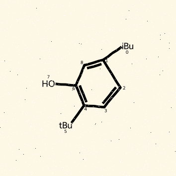 CCC(C)c1ccc(C(C)(C)C)c(O)c1